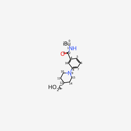 CCC(C)NC(=O)c1cccc(N2CCC(C(=O)O)CC2)c1